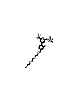 COCCOCCOCCOCc1ccc(-c2cc(COS(C)(=O)=O)nc(C(=O)OC)c2)c(C)c1